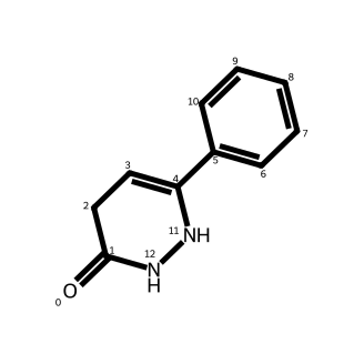 O=C1CC=C(c2ccccc2)NN1